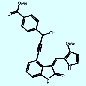 COC(=O)c1ccc(C(O)C#Cc2cccc3c2C(=Cc2[nH]ccc2OC)C(=O)N3)cc1